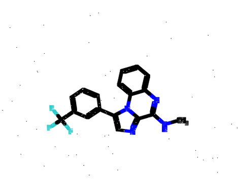 CNc1nc2ccccc2n2c(-c3cccc(C(F)(F)F)c3)cnc12